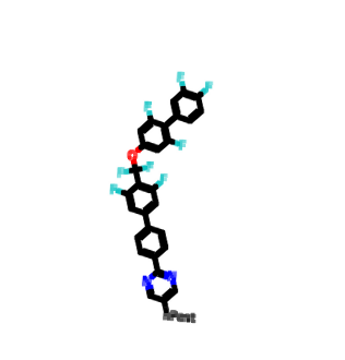 CCCCCc1cnc(-c2ccc(-c3cc(F)c(C(F)(F)Oc4cc(F)c(-c5ccc(F)c(F)c5)c(F)c4)c(F)c3)cc2)nc1